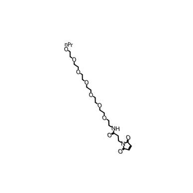 CCCOCCOCCOCCOCCOCCOCCOCCNC(=O)CCN1C(=O)C=CC1=O